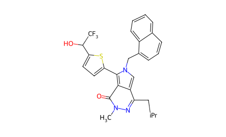 CC(C)Cc1nn(C)c(=O)c2c(-c3ccc(C(O)C(F)(F)F)s3)n(Cc3cccc4ccccc34)cc12